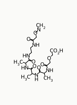 C=NOCC(=O)NCCNC(=O)C(C)NC(=O)C(C)NC(=O)C(C)NC(=O)COCC(=O)O